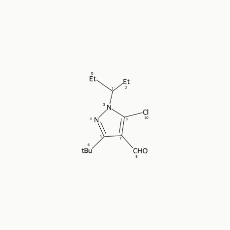 CCC(CC)n1nc(C(C)(C)C)c(C=O)c1Cl